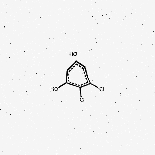 Cl.Oc1cccc(Cl)c1Cl